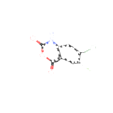 O=c1[nH]c2cc(Cl)c(F)cc2c(=O)o1